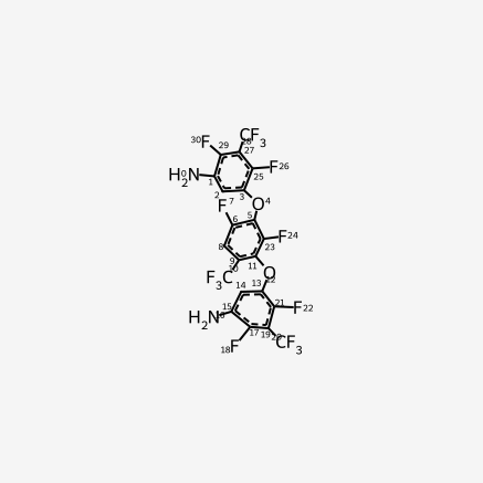 Nc1cc(Oc2c(F)cc(C(F)(F)F)c(Oc3cc(N)c(F)c(C(F)(F)F)c3F)c2F)c(F)c(C(F)(F)F)c1F